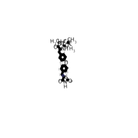 COC(=O)C(Cc1ccc(Oc2ccc(/C=C3\SC(=O)NC3=O)cc2)cc1)NC(=O)OC(C)(C)C